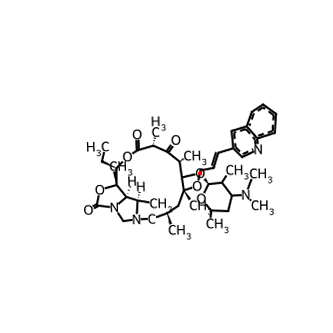 CC[C@H]1OC(=O)[C@H](C)C(=O)[C@H](C)C(O[C@@H]2OC(C)CC(N(C)C)C2C)[C@](C)(OC/C=C/c2cnc3ccccc3c2)C[C@@H](C)CN2CN3C(=O)O[C@@]1(C)[C@H]3[C@H]2C